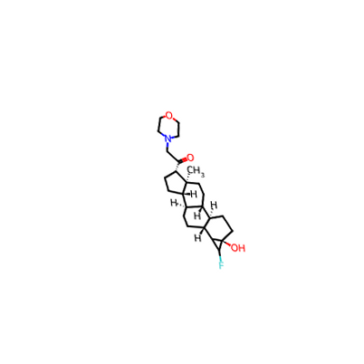 C[C@]12CC[C@@H]3[C@H]4CC[C@]5(O)C(F)C5[C@@H]4CC[C@H]3[C@@H]1CC[C@@H]2C(=O)CN1CCOCC1